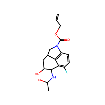 C=CCOC(=O)N1CC2CC(O)C(NC(C)O)c3c(F)ccc1c32